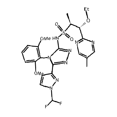 CCO[C@H](c1ncc(C)cn1)[C@H](C)S(=O)(=O)Nc1nnc(-c2ccn(C(F)F)n2)n1-c1c(OC)cccc1OC